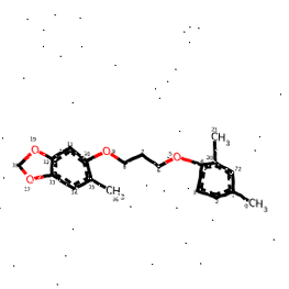 Cc1ccc(OCCCOc2cc3c(cc2C)OCO3)c(C)c1